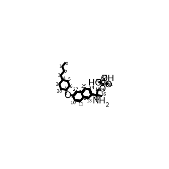 CCCCC1CCC(Oc2ccc3cc(C(C)(N)COP(=O)(O)O)ccc3c2)CC1